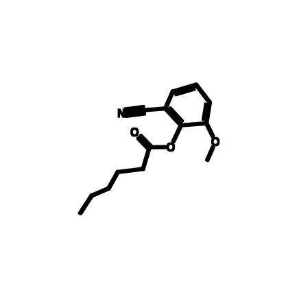 CCCCCC(=O)Oc1c(C#N)cccc1OC